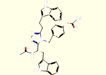 CC(=O)N[C@H](Cc1c[nH]c2ccccc12)c1nnc([CH]Cc2c[nH]c3ccccc23)n1Cc1ccc(OC(N)=O)cc1